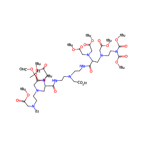 CCN(CCN(CC(=O)OC(C)(C)C)CC(C(=O)NCCN(CCNC(=O)C(CN(CCN(C(=O)OC(C)(C)C)C(=O)OC(C)(C)C)CC(=O)OC(C)(C)C)N(CC(=O)OC(C)(C)C)CC(=O)OC(C)(C)C)CC(=O)O)N(CC(=O)OC(C)(C)C)CC(C)(CC)OC=O)CC(=O)OC(C)(C)C